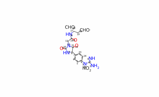 N=C(N)N(c1ccc(C2NC(=O)N(CC(=O)N[C@H]([C]=O)C[C]=O)C2=O)cc1)[N+](=O)[O-]